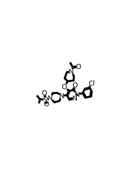 CC(=O)N1CCC(Oc2c(N3CCN(S(=O)(=O)C(C)C)CC3)cnn(-c3cccc(Cl)c3)c2=O)CC1